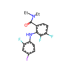 CCN(CC)C(=O)c1ccc(F)c(F)c1Nc1ccc(I)cc1F